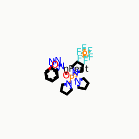 CCCCCO[P+](N1CCCC1)(N1CCCC1)N1CCCC1.F[P-](F)(F)(F)(F)F.c1cc2c3nnn(c3c1)O2